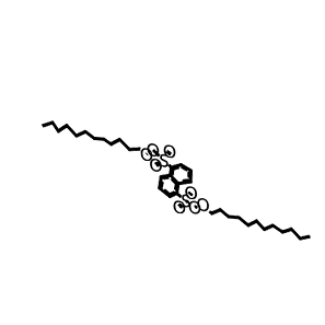 CCCCCCCCCCCCOOS(=O)(=O)c1cccc2c(S(=O)(=O)OOCCCCCCCCCCCC)cccc12